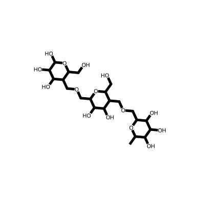 CC1OC(COCC2C(CO)OC(COCC3C(CO)OC(O)C(O)C3O)C(O)C2O)C(O)C(O)C1O